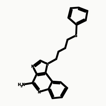 Nc1nc2ccccc2c2c1ncn2CCCCSc1ccccc1